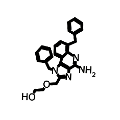 Nc1nc2c(Cc3ccccc3)cccc2c2c1nc(COCCO)n2Cc1ccccc1